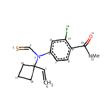 C=CC1(N(C=S)c2ccc(C(=O)NC)c(F)c2)CCC1